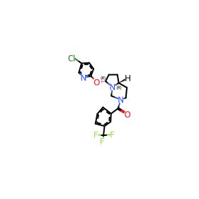 O=C(c1cccc(C(F)(F)F)c1)N1CC[C@H]2CC[C@@H](Oc3ccc(Cl)cn3)N2C1